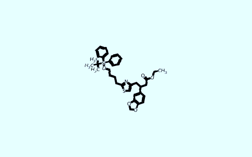 CCOC(=O)CC(Cc1csc(CCCCO[Si](c2ccccc2)(c2ccccc2)C(C)(C)C)n1)c1ccc2c(c1)OCO2